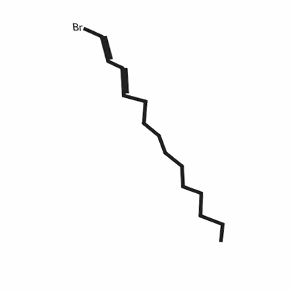 CCCCCCCCCC/C=C/C=C/Br